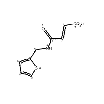 O=C(O)C=CC(=O)NCc1cccs1